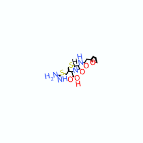 N=C(N)SCC1=CS[C@H]2C(NC(=O)Cc3ccco3)C(=O)N2C1C(=O)O